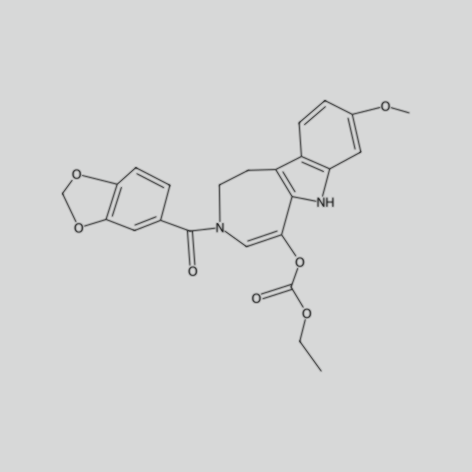 CCOC(=O)OC1=CN(C(=O)c2ccc3c(c2)OCO3)CCc2c1[nH]c1cc(OC)ccc21